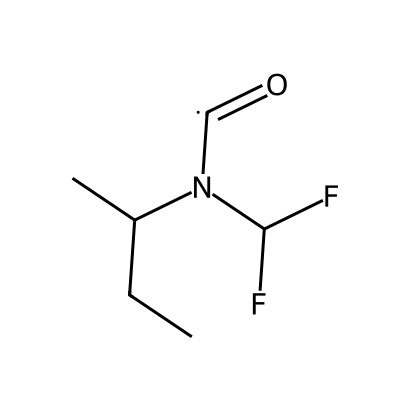 CCC(C)N([C]=O)C(F)F